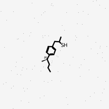 CCC[C@@H](C)c1ccc(CC(C)S)cc1